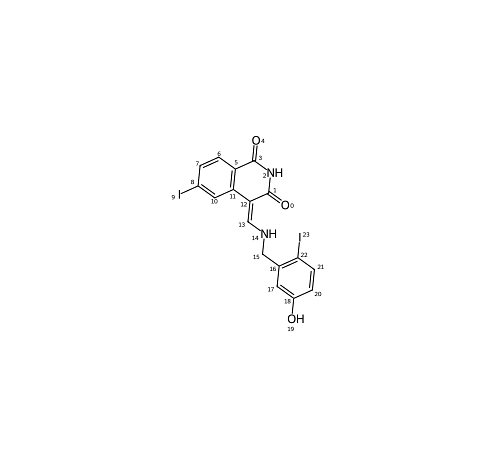 O=C1NC(=O)c2ccc(I)cc2C1=CNCc1cc(O)ccc1I